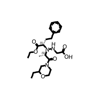 CCOC(=O)[C@H](CCc1ccccc1)N(NCC(=O)O)[C@@H](C)C(=O)N1CCOC(CC)C1